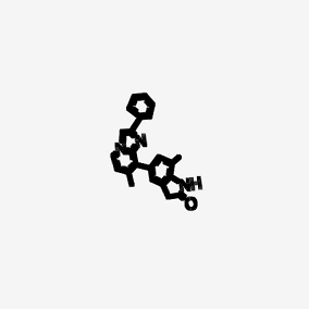 Cc1cc(-c2c(C)ccn3cc(-c4ccccc4)nc23)cc2c1NC(=O)C2